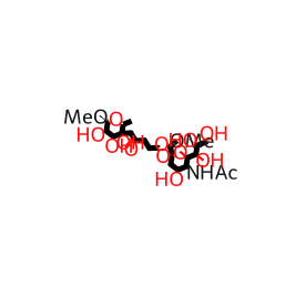 COC(=O)[C@@]1(OCCCC(=O)C[C@@]2(O)C(C)O[C@@H](OC)[C@@H](O)[C@@H]2O)C[C@H](O)[C@@H](NC(C)=O)[C@H]([C@H](O)[C@H](O)CO)O1